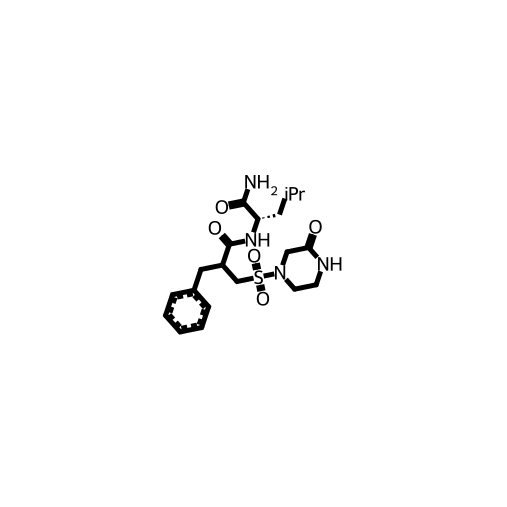 CC(C)C[C@H](NC(=O)C(Cc1ccccc1)CS(=O)(=O)N1CCNC(=O)C1)C(N)=O